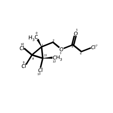 C[C@]1(COC(=O)CCl)C(Cl)(Cl)[C@@]1(C)Cl